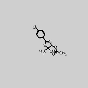 CC(=O)OC1N=C(c2ccc(Cl)cc2)SC1(C)C